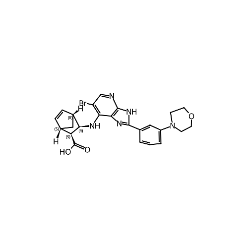 O=C(O)[C@@H]1[C@H](Nc2c(Br)cnc3[nH]c(-c4cccc(N5CCOCC5)c4)nc23)[C@H]2C=C[C@@H]1C2